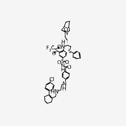 O=C(NS(=O)(=O)c1ccc(N[C@H](CCN2CC3CCC(C2)O3)CSc2ccccc2)c(S(=O)(=O)C(F)(F)F)c1)c1ccc(NCCNCC2=C(c3ccc(Cl)cc3)CCCC2)cc1